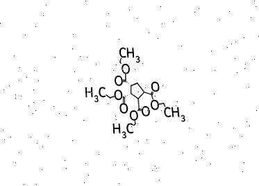 CCOC(=O)C1C[C@@H](C(=O)OCC)[C@@H](C(=O)OCC)C1C(=O)OCC